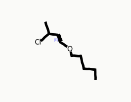 CCCCCO/C=C/C(C)Cl